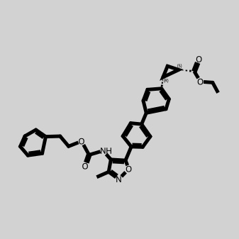 CCOC(=O)[C@H]1C[C@H]1c1ccc(-c2ccc(-c3onc(C)c3NC(=O)OCCc3ccccc3)cc2)cc1